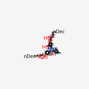 CCCCCCCCCCCCOCC(O)COc1ccc(-c2nc(-c3ccc(C)cc3C)nc(-c3ccc(OCC(O)COCCCCCCCCCCCC)cc3O)n2)c(O)c1